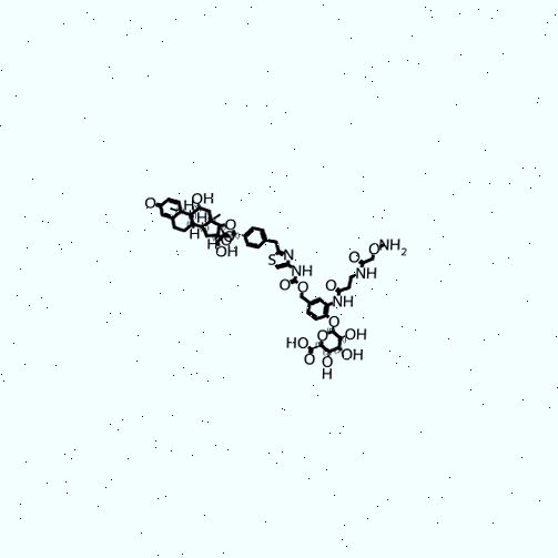 C[C@]12C=CC(=O)C=C1CC[C@@H]1[C@@H]2[C@@H](O)C[C@@]2(C)[C@H]1C[C@H]1O[C@@H](c3ccc(Cc4nc(NC(=O)OCc5ccc(O[C@@H]6O[C@H](C(=O)O)[C@@H](O)[C@H](O)[C@H]6O)c(NC(=O)CCNC(=O)CON)c5)cs4)cc3)O[C@]12C(=O)CO